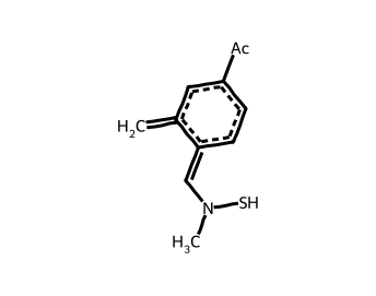 C=c1cc(C(C)=O)cc/c1=C\N(C)S